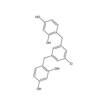 Oc1ccc(Cc2[c]c(Cc3ccc(O)cc3O)cc(Cl)c2)c(O)c1